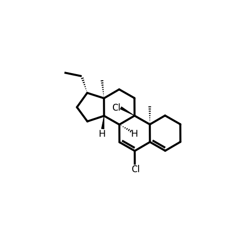 CC[C@H]1CC[C@H]2[C@@H]3C=C(Cl)C4=CCCC[C@]4(C)[C@@]3(Cl)CC[C@]12C